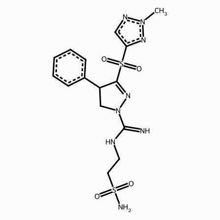 Cn1ncc(S(=O)(=O)C2=NN(C(=N)NCCS(N)(=O)=O)CC2c2ccccc2)n1